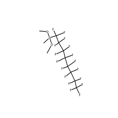 CO[Si](C)(OC)C(F)(F)C(F)(F)C(F)(F)C(F)(F)C(F)(F)C(F)(F)C(F)(F)C(F)(F)F